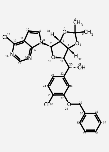 CC1(C)O[C@H]2[C@@H](O1)[C@H](n1ccc3c(Cl)ncnc31)O[C@@H]2[C@H](O)c1ccc(Cl)c(OCc2ccccc2)c1